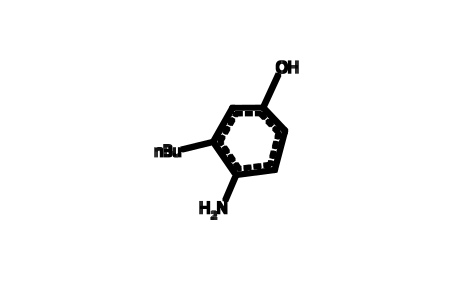 CCCCc1cc(O)ccc1N